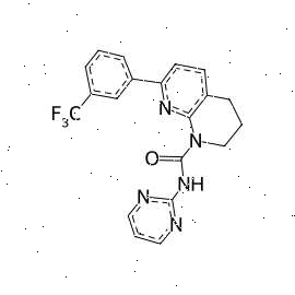 O=C(Nc1ncccn1)N1CCCc2ccc(-c3cccc(C(F)(F)F)c3)nc21